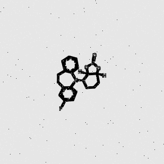 O=[S@@]1O[C@H]2[C@H](N3c4ccccc4CCc4cc(F)ccc43)CCC[C@H]2O1